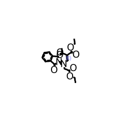 CCOC(=O)CN(/C=C(\C(C)=O)C(=O)OCC)N1C(=O)c2ccccc2C1=O